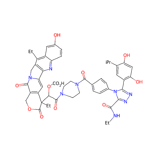 CCNC(=O)c1nnc(-c2cc(C(C)C)c(O)cc2O)n1-c1ccc(C(=O)N2CCN(C(=O)C(OC(=O)O)C3(CC)C(=O)OCc4c3cc3n(c4=O)Cc4c-3nc3ccc(O)cc3c4CC)CC2)cc1